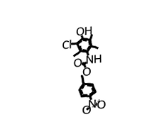 Cc1c(C)c(NC(=O)OCc2ccc([N+](=O)[O-])cc2)c(C)c(Cl)c1O